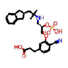 CC(C)(CC1Cc2ccccc2C1)NC[C@H](COc1cc(CCC(=O)O)ccc1C#N)OP(=O)(O)O